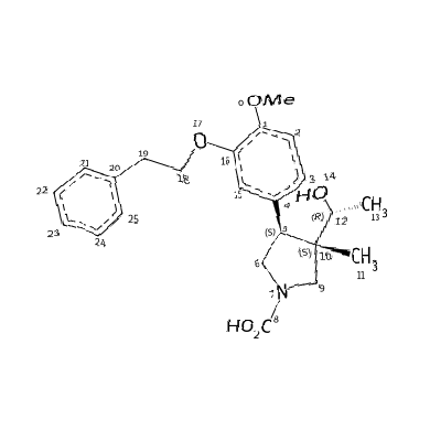 COc1ccc([C@@H]2CN(C(=O)O)C[C@@]2(C)[C@@H](C)O)cc1OCCc1ccccc1